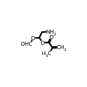 C=C(C)C(=O)OC(CN)OC=O